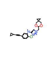 CN(c1cn(CC2OCC3(CC3)CO2)nn1)c1cc(C#CC2CC2)ccc1Cl